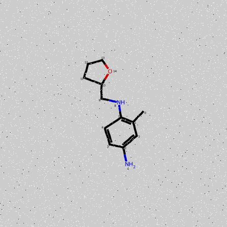 Cc1cc(N)ccc1NCC1CCCO1